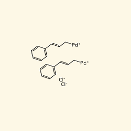 [Cl-].[Cl-].[Pd+][CH2]/C=C/c1ccccc1.[Pd+][CH2]/C=C/c1ccccc1